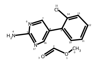 COC=O.Nc1ncc(-c2ccccc2Cl)cn1